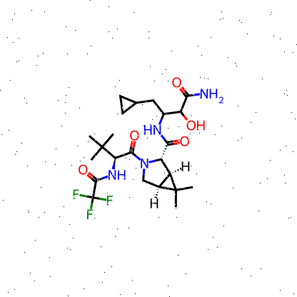 CC(C)(C)[C@H](NC(=O)C(F)(F)F)C(=O)N1C[C@H]2[C@@H]([C@H]1C(=O)NC(CC1CC1)C(O)C(N)=O)C2(C)C